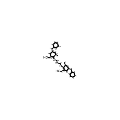 Cc1cc(Cc2ccccc2)cc(CO)c1OCCCOc1c(C)cc(Cc2ccccc2)cc1CO